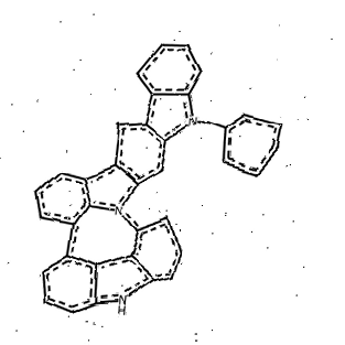 c1ccc(-n2c3ccccc3c3cc4c5cccc6c7cccc8[nH]c9cccc(c9c87)n(c4cc32)c65)cc1